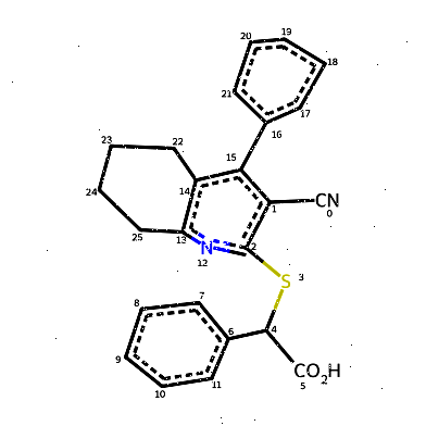 N#Cc1c(SC(C(=O)O)c2ccccc2)nc2c(c1-c1ccccc1)CCCC2